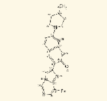 CN1CCN(c2ccc3cc(-c4cn5cccc(F)c5n4)c(=O)oc3n2)CC1